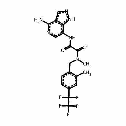 Cc1cc(C(F)(F)C(F)(F)F)ccc1CN(C)C(=O)C(=O)Nc1cnc(N)c2cn[nH]c12